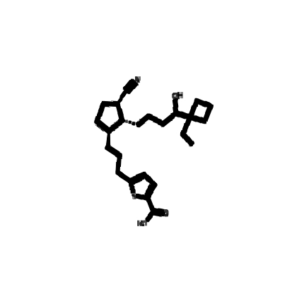 CCC1(C(O)CCC[C@@H]2[C@@H](CCCc3ccc(C(=O)O)s3)CC[C@H]2C#N)CCC1